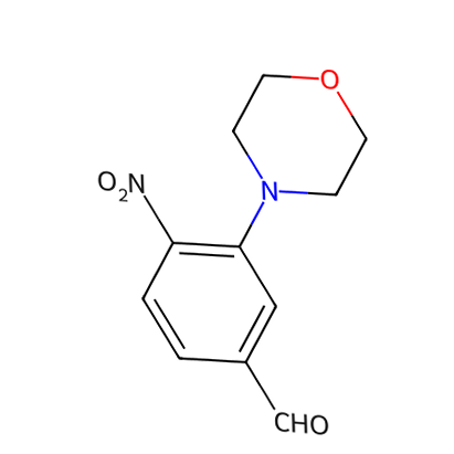 O=Cc1ccc([N+](=O)[O-])c(N2CCOCC2)c1